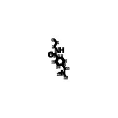 CCCNC(=O)c1ccc(CN(C)C)cc1